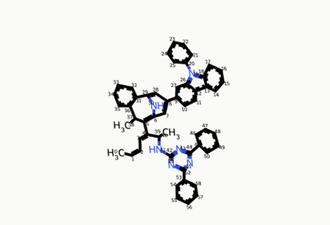 C/C=C\C=C(\C1=C2C=C(c3ccc4c5ccccc5n(-c5ccccc5)c4c3)C=C(N2)c2ccccc2C1C)C(C)Nc1nc(-c2ccccc2)nc(-c2ccccc2)n1